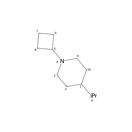 CC(C)C1[CH]CN(C2CCC2)CC1